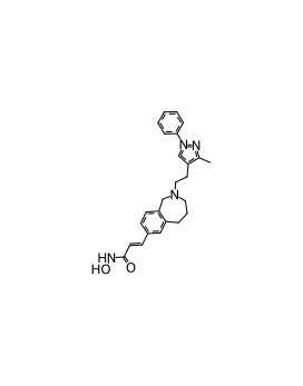 Cc1nn(-c2ccccc2)cc1CCN1CCCc2cc(C=CC(=O)NO)ccc2C1